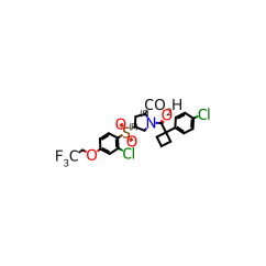 O=C(O)[C@@H]1C[C@@H](S(=O)(=O)c2ccc(OCC(F)(F)F)cc2Cl)CN1C(=O)C1(c2ccc(Cl)cc2)CCC1